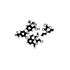 C=CCN(CC=C)C(=O)C(Cl)Cl.CCc1cccc(CC)c1N(COC)C(=O)CCl.O=C(O)c1cc(Oc2ccc(C(F)(F)F)cc2Cl)ccc1[N+](=O)[O-]